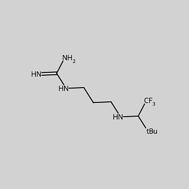 CC(C)(C)C(NCCCNC(=N)N)C(F)(F)F